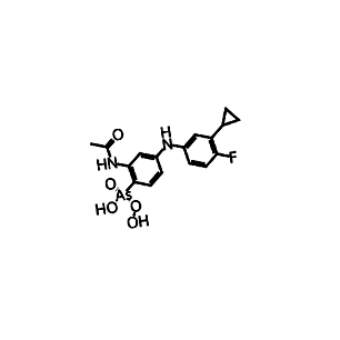 CC(=O)Nc1cc(Nc2ccc(F)c(C3CC3)c2)ccc1[As](=O)(O)OO